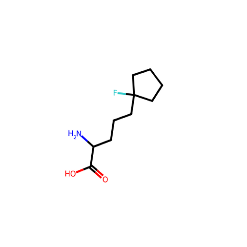 NC(CCCC1(F)CCCC1)C(=O)O